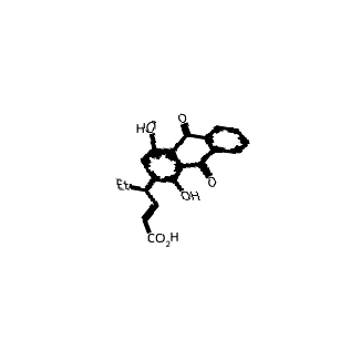 CCC(C=CC(=O)O)c1cc(O)c2c(c1O)C(=O)c1ccccc1C2=O